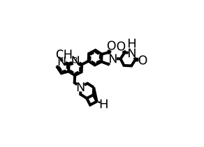 Cn1ccc2c(CN3CC4C[C@H]5C(C3)C45)cc(-c3ccc4c(c3)CN(C3CCC(=O)NC3=O)C4=O)nc21